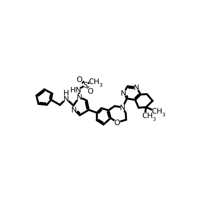 CC1(C)CCc2ncnc(N3CCOc4ccc(C5=CN(NS(C)(=O)=O)C(NCc6ccccc6)N=C5)cc4C3)c2C1